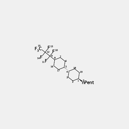 CCCCC[C@H]1CC[C@H](C2CCC(C(F)(F)C(F)(F)C(F)(F)F)CC2)CC1